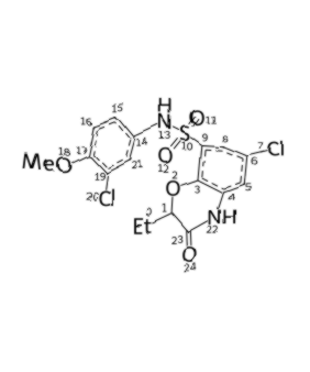 CCC1Oc2c(cc(Cl)cc2S(=O)(=O)Nc2ccc(OC)c(Cl)c2)NC1=O